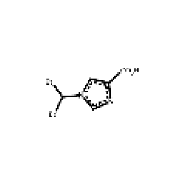 CCC(CC)n1cnc(C(=O)O)c1